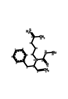 C=CC(Cc1ccccc1)N(CCCC(=C)C)C(=O)OC(C)(C)C